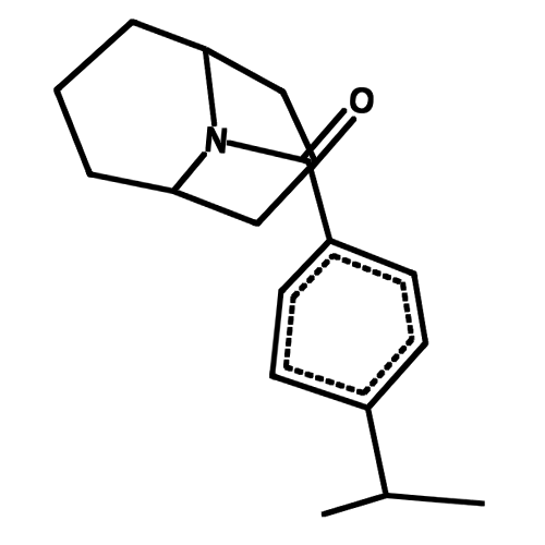 CC(C)c1ccc(C(=O)N2C3CCCC2CCC3)cc1